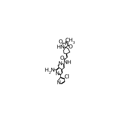 CN1C(=O)NC2(CCC(=CC(=O)Nc3cc4cc(-c5cnccc5Cl)nc(N)c4cn3)CC2)C1=O